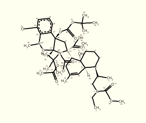 CCN(CC(C)[C@@H]1CC[C@@H](C)[C@@]2(O)[C@@H]1C=C(C)[C@H](OC(C)=O)[C@@H]2[C@]1(C(=O)O)C[C@@]2(OC(=O)OC(C)(C)C)c3cccc(Cl)c3N(C)O[C@H]2[N+]1(C(=O)[O-])C(C)(C)C)C(=O)OC